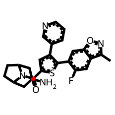 Cc1noc2cc(-c3sc(C(=O)N4C5CCC4CC(N)C5)cc3-c3cccnc3)c(F)cc12